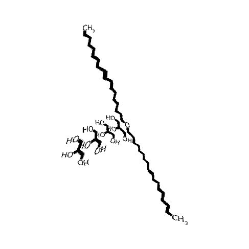 CCCCCCCCC=CCCCCCCCCOCCCCCCCCC=CCCCCCCCC.OCC(O)CO.OCC(O)CO.OCC(O)CO.OCC(O)CO